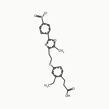 CCc1cc(OCCc2nc(-c3ccc([N+](=O)[O-])cc3)oc2C)ccc1CCC(=O)O